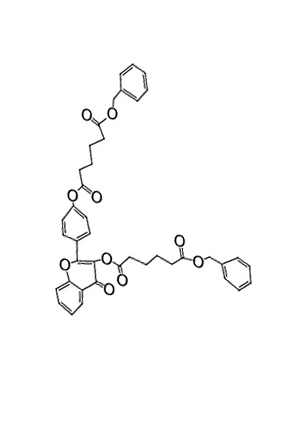 O=C(CCCCC(=O)Oc1ccc(-c2oc3ccccc3c(=O)c2OC(=O)CCCCC(=O)OCc2ccccc2)cc1)OCc1ccccc1